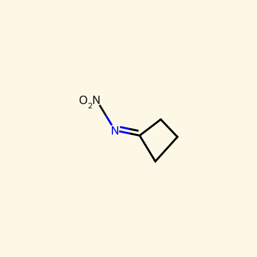 O=[N+]([O-])N=C1CCC1